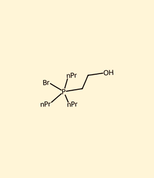 CCCP(Br)(CCC)(CCC)CCO